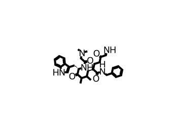 CC(C[C@@H](CCC(=O)C=N)C(=O)NCc1ccccc1)C(C)C(=O)[C@H](Cc1c[nH]c2ccccc12)NC(=O)CN(C)C